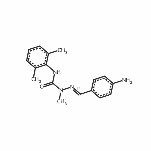 Cc1cccc(C)c1NC(=O)N(C)/N=C/c1ccc(N)cc1